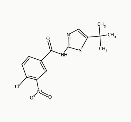 CC(C)(C)c1cnc(NC(=O)c2ccc(Cl)c([N+](=O)[O-])c2)s1